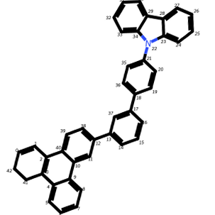 C1=Cc2c(c3ccccc3c3cc(-c4cccc(-c5ccc(-n6c7ccccc7c7ccccc76)cc5)c4)ccc23)CC1